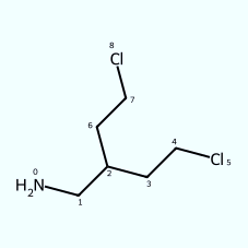 NCC(CCCl)CCCl